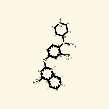 CN(c1ccc(Oc2nc(O)c3ccncc3n2)cc1C(F)(F)F)C1CCNCC1